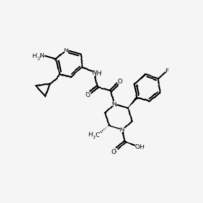 C[C@@H]1CN(C(=O)C(=O)Nc2cnc(N)c(C3CC3)c2)[C@@H](c2ccc(F)cc2)CN1C(=O)O